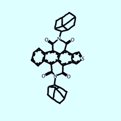 O=C1c2c3ccccc3c3c4c(c5cscc5c(c24)C(=O)N1C1C2CC4CC(C2)CC1C4)C(=O)N(C1C2CC4CC(C2)CC1C4)C3=O